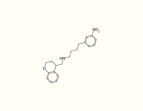 O=[N+]([O-])c1cccc(CCCCNCC2CCOc3ccccc32)c1